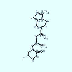 C[C@@H]1CN(C[C@H](N)CC(=O)N2CCn3c(nnc3C(F)(F)F)C2)C(=O)CO1